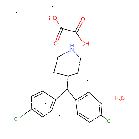 Clc1ccc(C(c2ccc(Cl)cc2)C2CCNCC2)cc1.O.O=C(O)C(=O)O